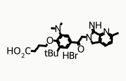 Br.Cc1ccc2c(n1)C(=N)N(CC(=O)c1cc(N(C)C)c(OCCCC(=O)O)c(C(C)(C)C)c1)C2